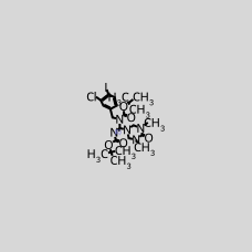 CN1CN(/C(=N\C(=O)OC(C)(C)C)N(Cc2ccc(I)c(Cl)c2)C(=O)OC(C)(C)C)CN(C)C1=O